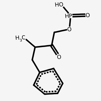 CC(Cc1ccccc1)C(=O)CO[PH](=O)O